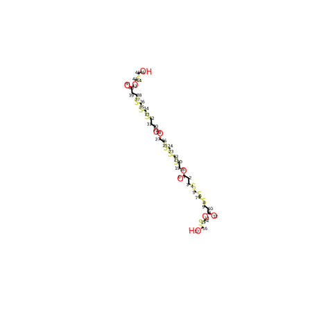 O=C(CCSCSCSCCC(=O)OCSCO)OCCSCSCSCCOOCCCSCSCSCCC(=O)OCSCO